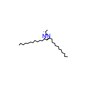 C[CH]c1nc(CCCCCCCCCCC)cc(CCCCCCCCCCC)n1